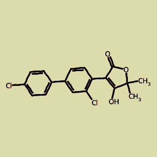 CC1(C)OC(=O)C(c2ccc(-c3ccc(Cl)cc3)cc2Cl)=C1O